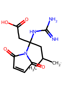 [CH2]C(C)CC(CC(=O)O)(NC(=N)N)N1C(=O)C=CC1=O